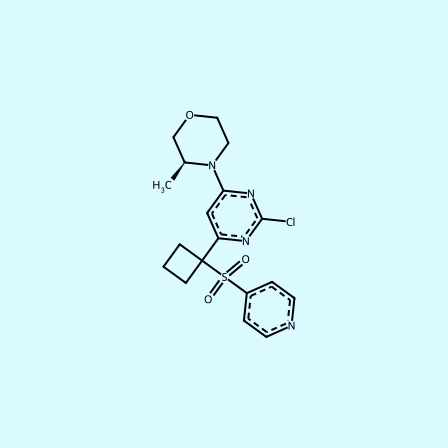 C[C@H]1COCCN1c1cc(C2(S(=O)(=O)c3ccncc3)CCC2)nc(Cl)n1